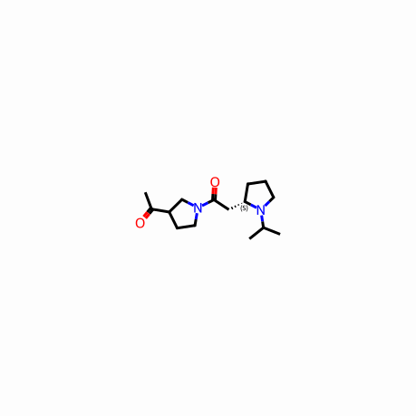 CC(=O)C1CCN(C(=O)C[C@@H]2CCCN2C(C)C)C1